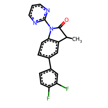 CC1C(=O)N(c2ncccn2)c2ccc(-c3ccc(F)c(F)c3)cc21